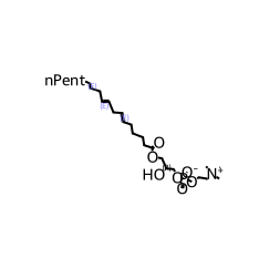 CCCCC/C=C/C/C=C/C/C=C/CCCCC(=O)OC[C@@H](O)COP(=O)([O-])OCC[N+](C)(C)C